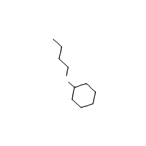 [CH2]CCCOC1CCCCC1